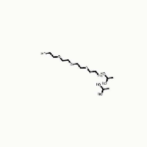 CC(O)O.CC(O)O.OCCOCCOCCOCCO